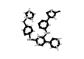 Cc1ncc(-c2cccc(Nc3nc(Nc4ccc(Cn5cncn5)cc4)ncc3-c3cncnc3)c2)s1